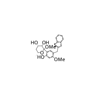 COc1cc(O)c(C2(OC)O[C@H](C)C[C@H](O)C2O)cc1Cc1cc2ccccc2s1